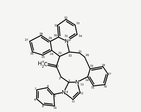 C=C1CC2N(c3ccccc3)C=CN2c2ccccc2CCC2C1c1ccccc1-c1cccc[n+]12